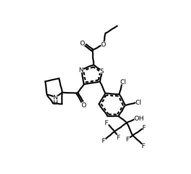 CCOC(=O)c1nc(C(=O)C23CCC(CC2)N3)c(-c2ccc(C(O)(C(F)(F)F)C(F)(F)F)c(Cl)c2Cl)s1